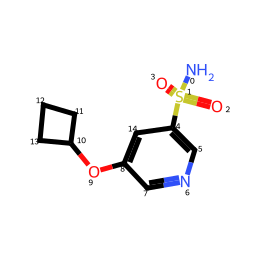 NS(=O)(=O)c1cncc(OC2CCC2)c1